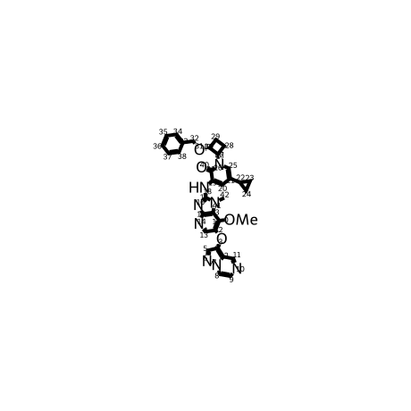 COc1c(Oc2cnn3ccncc23)cnc2nc(Nc3cc(C4CC4)cn([C@@H]4CC[C@H]4OCc4ccccc4)c3=O)n(C)c12